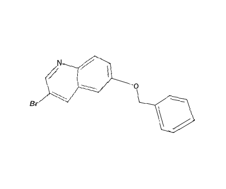 Brc1cnc2ccc(OCc3ccccc3)cc2c1